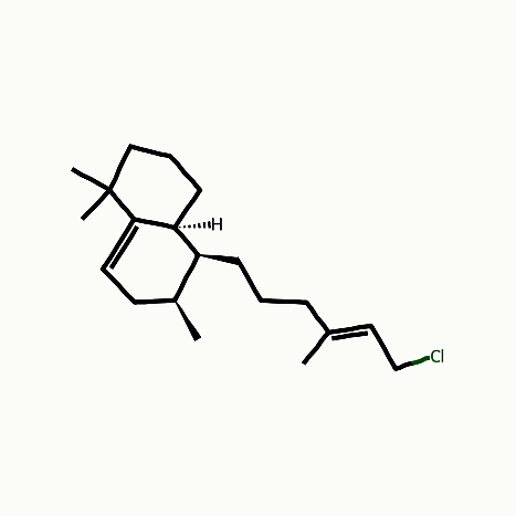 C/C(=C\CCl)CCC[C@@H]1[C@@H]2CCCC(C)(C)C2=CC[C@@H]1C